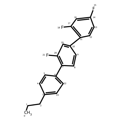 CCCc1ccc(-c2ccc(-c3ccc(F)cc3F)cc2F)cc1